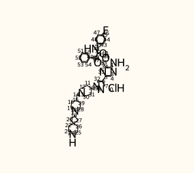 Cl.Nc1ncc(-c2cnn(C3CCN(CC4CCN(C5CC6(CCNCC6)C5)CC4)CC3)c2)nc1C(=O)O[C@@H](C(=O)Nc1ccc(F)cc1)c1ccccc1